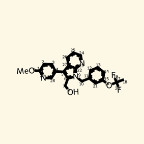 COc1ccc(-c2c(CO)n(Cc3cccc(OC(C)(F)F)c3)c3ncccc23)cn1